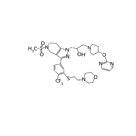 CS(=O)(=O)N1CCc2c(c(-c3ccc(C(F)(F)F)c(SCCN4CCOCC4)c3)nn2CC(O)CN2CCC(Oc3ncccn3)CC2)C1